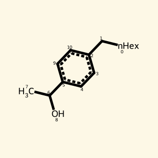 CCCCCCCc1ccc(C(C)O)cc1